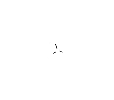 [KH].[NaH].[O-][Cl+2]([O-])O